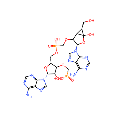 Nc1ncnc2c1ncn2[C@@H]1O[C@H](COP(=O)(O)COC2C3[C@@H](CO)C3(O)O[C@H]2n2cnc3c(N)ncnc32)C(OC[PH](=O)O)C1O